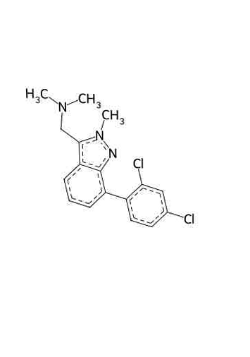 CN(C)Cc1c2cccc(-c3ccc(Cl)cc3Cl)c2nn1C